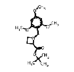 COc1cc(OC)c(CN2CCC2C(=O)OC(C)(C)C)c(OC)c1